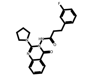 O=C(CCc1cccc(F)c1)Nn1c(N2CCCC2)nc2ccccc2c1=O